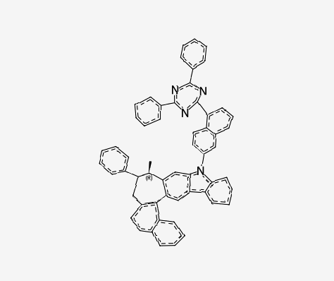 C[C@H]1c2cc3c(cc2-c2c(ccc4ccccc24)CC1c1ccccc1)c1ccccc1n3-c1ccc2c(-c3nc(-c4ccccc4)nc(-c4ccccc4)n3)cccc2c1